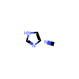 C#N.c1c[nH]cn1